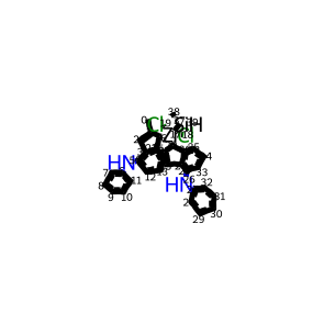 CC1=Cc2c(Nc3ccccc3)cccc2[CH]1[Zr]([Cl])([Cl])([CH]1C(C)=Cc2c(Nc3ccccc3)cccc21)[SiH](C)C